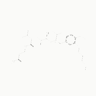 COCCCOc1cc(C[C@@H](C[C@H](N)[C@@H](O)C[C@H](C(=O)NCCC(N)=O)C(C)C)C(C)C)ccc1OC.Cl